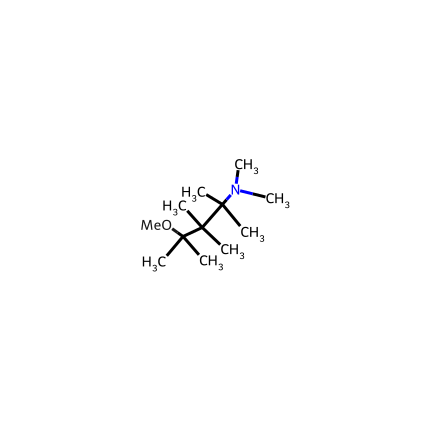 COC(C)(C)C(C)(C)C(C)(C)N(C)C